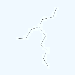 CCCN(CCC)CC[N]CC